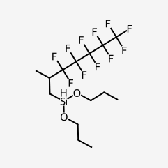 CCCO[SiH](CC(C)C(F)(F)C(F)(F)C(F)(F)C(F)(F)C(F)(F)F)OCCC